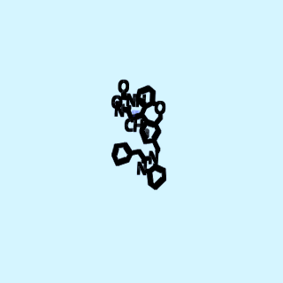 C/C(=C1\c2ccc(Cn3c(Cc4ccccc4)nc4ccccc43)cc2COc2ccccc21)c1noc(=O)[nH]1